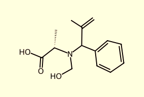 C=C(C)C(c1ccccc1)N(CO)[C@@H](C)C(=O)O